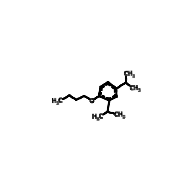 CCCCOc1ccc(C(C)C)cc1C(C)C